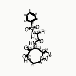 CC(C)C(NS(=O)(=O)c1ccccc1)C(=O)NC1Cc2cnnn2CCNC(=O)C1=O